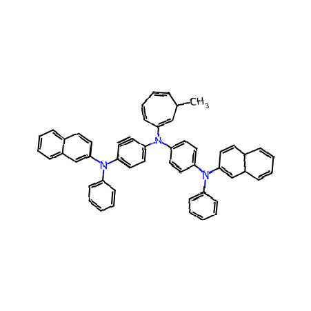 CC1C=CC=CC(N(c2c#cc(N(c3ccccc3)c3ccc4ccccc4c3)cc2)c2ccc(N(C3=CC4C=CC=CC4C=C3)c3ccccc3)cc2)=C1